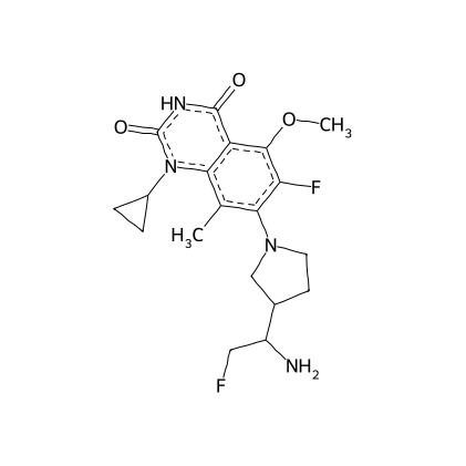 COc1c(F)c(N2CCC(C(N)CF)C2)c(C)c2c1c(=O)[nH]c(=O)n2C1CC1